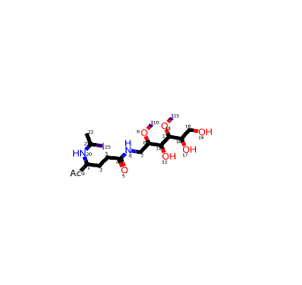 CC(=O)C(CCC(=O)NCC(OI)C(O)C(OI)C(O)CO)NC(C)I